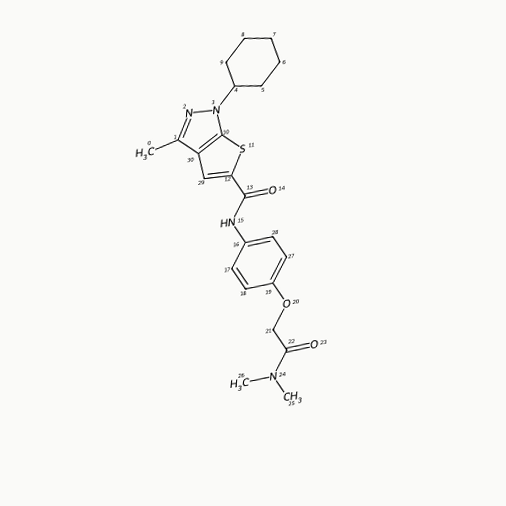 Cc1nn(C2CCCCC2)c2sc(C(=O)Nc3ccc(OCC(=O)N(C)C)cc3)cc12